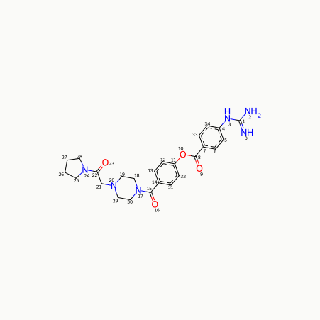 N=C(N)Nc1ccc(C(=O)Oc2ccc(C(=O)N3CCN(CC(=O)N4CCCC4)CC3)cc2)cc1